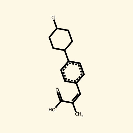 CC(=Cc1ccc(C2CCC(Cl)CC2)cc1)C(=O)O